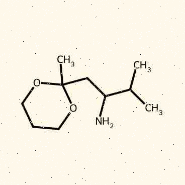 CC(C)C(N)CC1(C)OCCCO1